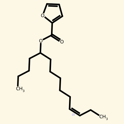 CC/C=C\CCCCCC(CCCC)OC(=O)c1ccco1